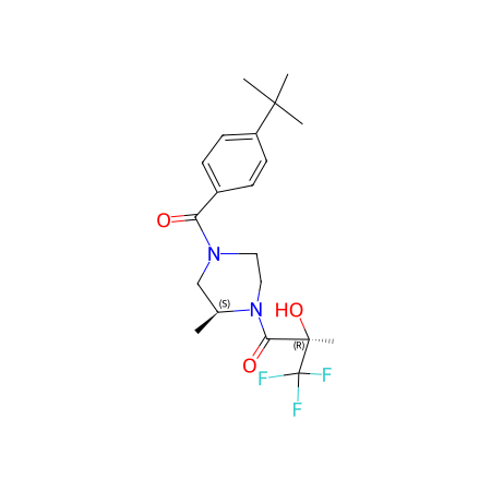 C[C@H]1CN(C(=O)c2ccc(C(C)(C)C)cc2)CCN1C(=O)[C@@](C)(O)C(F)(F)F